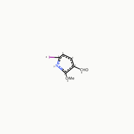 COc1nc(I)ccc1C=O